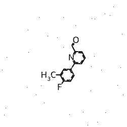 Cc1cc(-c2cccc(C=O)n2)ccc1F